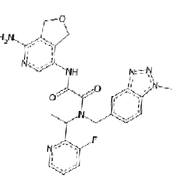 CC(c1ncccc1F)N(Cc1ccc2c(c1)nnn2C)C(=O)C(=O)Nc1cnc(N)c2c1COC2